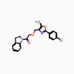 CCc1ccc(-c2nc(COCC(=O)N3CCc4ccccc43)c(C)o2)cc1